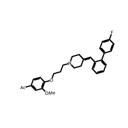 COc1cc(C(C)=O)ccc1OCCCN1CCC(=Cc2ccccc2-c2ccc(F)cc2)CC1